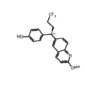 COc1ccc2cc([C@H](CCC(F)(F)F)c3ccc(O)cc3)ccc2n1